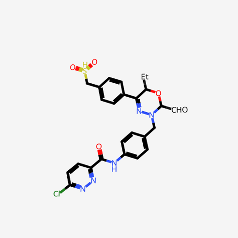 CCC1OC(C=O)N(Cc2ccc(NC(=O)c3ccc(Cl)nn3)cc2)N=C1c1ccc(C[SH](=O)=O)cc1